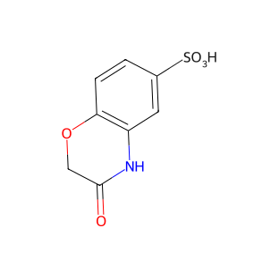 O=C1COc2ccc(S(=O)(=O)O)cc2N1